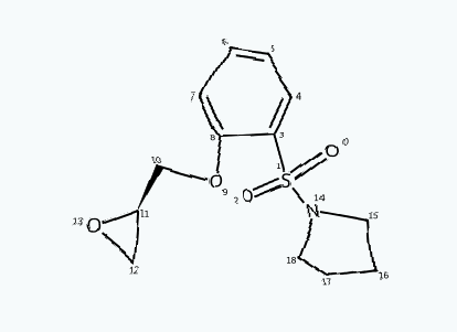 O=S(=O)(c1ccccc1OC[C@H]1CO1)N1CCCC1